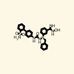 N=C(NO)c1cccc(N(Cc2ccccc2)NC(=O)Nc2ccc(-c3ccccc3S(N)(=O)=O)cc2)c1